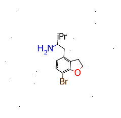 CC(C)C(N)Cc1ccc(Br)c2c1CCO2